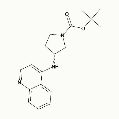 CC(C)(C)OC(=O)N1CC[C@@H](Nc2ccnc3ccccc23)C1